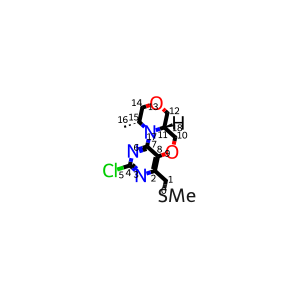 CSCc1nc(Cl)nc2c1OC[C@H]1COC[C@@H](C)N21